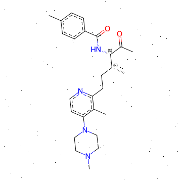 CC(=O)[C@@H](NC(=O)c1ccc(C)cc1)[C@H](C)CCc1nccc(N2CCN(C)CC2)c1C